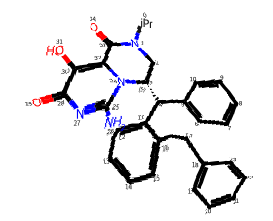 CC(C)N1C[C@H](C(c2ccccc2)c2ccccc2Cc2ccccc2)n2c(N)nc(=O)c(O)c2C1=O